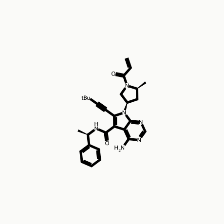 C=CC(=O)N1C[C@H](n2c(C#CC(C)(C)C)c(C(=O)N[C@H](C)c3ccccc3)c3c(N)ncnc32)C[C@@H]1C